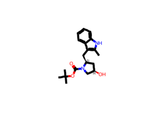 Cc1[nH]c2ccccc2c1C[C@H]1C[C@@H](O)CN1C(=O)OC(C)(C)C